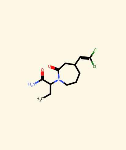 CCC(C(N)=O)N1CCCC(C=C(Cl)Cl)CC1=O